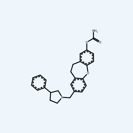 NC(=O)Oc1ccc2c(c1)CCc1cc(CN3CCC(c4ccccc4)C3)ccc1O2